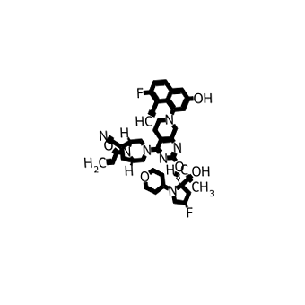 C#Cc1c(F)ccc2cc(O)cc(N3CCc4c(nc(OC[C@]5(C(C)(C)O)C[C@@H](F)CN5C5CCOCC5)nc4N4C[C@@H]5CC(C#N)[C@H](C4)N5C(=O)C=C)C3)c12